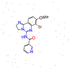 COc1ccc2c(c1Br)N=C(NC(=O)c1cccnc1)N1CCN=C21